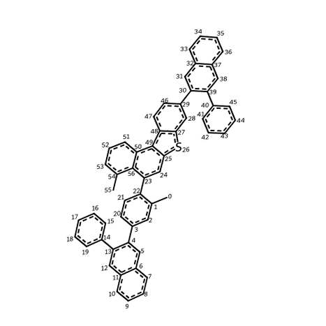 Cc1cc(-c2cc3ccccc3cc2-c2ccccc2)ccc1-c1cc2sc3cc(-c4cc5ccccc5cc4-c4ccccc4)ccc3c2c2cccc(C)c12